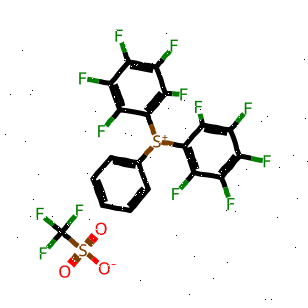 Fc1c(F)c(F)c([S+](c2ccccc2)c2c(F)c(F)c(F)c(F)c2F)c(F)c1F.O=S(=O)([O-])C(F)(F)F